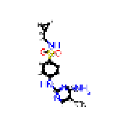 N#Cc1cnc(Nc2ccc(S(=O)(=O)NCC3CC3)cc2)nc1N